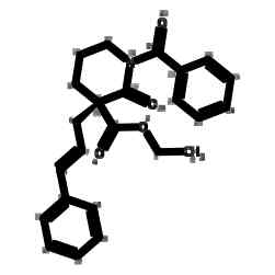 CCOC(=O)[C@]1(CC=Cc2ccccc2)CCCN(C(=O)c2ccccc2)C1=O